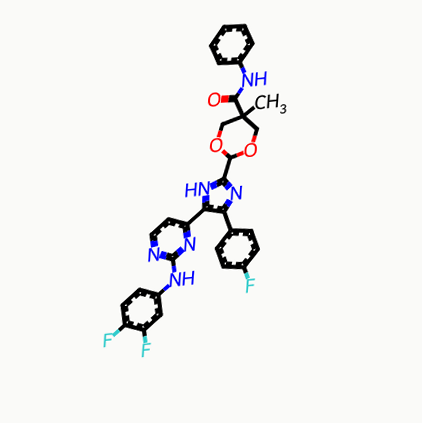 CC1(C(=O)Nc2ccccc2)COC(c2nc(-c3ccc(F)cc3)c(-c3ccnc(Nc4ccc(F)c(F)c4)n3)[nH]2)OC1